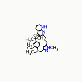 CCc1cc(C(C)(C)C)ccc1C(CC)Cc1cc(CCCc2ccc3c(n2)NCCC3)n(C)n1